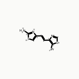 CC(C)c1ocnc1/C=C/c1csc(N)n1